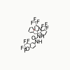 O=C(Nc1ccc2c(c1)C(F)(F)CC(F)(F)O2)NC(Cc1ccccc1)(c1cccc(C(F)(F)F)c1)c1ccc(C(F)(F)F)cn1